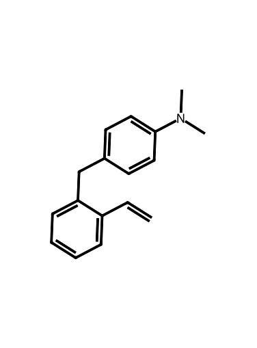 C=Cc1ccccc1Cc1ccc(N(C)C)cc1